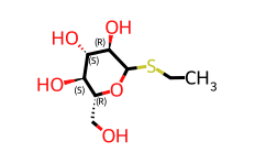 CCSC1O[C@H](CO)[C@@H](O)[C@H](O)[C@H]1O